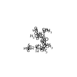 CCN(CC)CCCC[C@H](NC(=O)CNC(=O)[C@H](C)NC(=O)CNC=O)C(=O)NCC(=O)NC(C)(C)CCOC(C)(C)CCNC(=O)CCCC[C@@H]1SCC2NC(=O)NC21